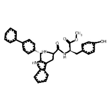 COC(=O)[C@@H](Cc1ccc(O)cc1)NC(=O)C1Cc2c([nH]c3ccccc23)[C@H](c2ccc(-c3ccccc3)cc2)N1